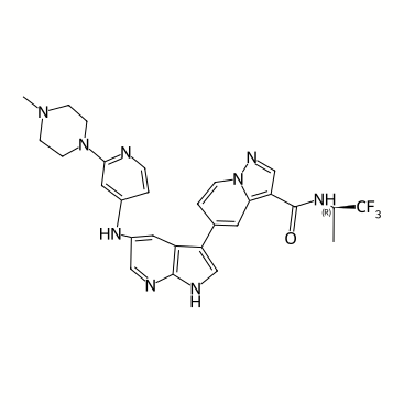 C[C@@H](NC(=O)c1cnn2ccc(-c3c[nH]c4ncc(Nc5ccnc(N6CCN(C)CC6)c5)cc34)cc12)C(F)(F)F